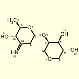 C[C@H]1O[C@H](O[C@@H]2COC[C@@H](O)[C@@H]2O)CC(=N)[C@@H]1O